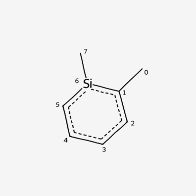 Cc1cccc[si]1C